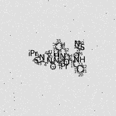 CC(C)c1nc(CN(C(=O)N[C@H](C(=O)N[C@H](CC[C@H](Cc2ccccc2)NOCc2cncs2)Cc2ccccc2)C(C)C)C2CC2)cs1